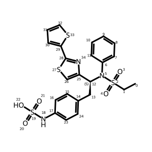 CCS(=O)(=O)N(c1ccccc1)[C@@H](Cc1ccc(NS(=O)(=O)O)cc1)c1csc(-c2cccs2)n1